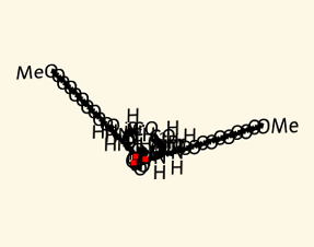 COCCOCCOCCOCCOCCOCCOCCOCCOCCOCC(=O)NCCCC[C@H](NC(=O)CCCNC(=O)[C@H]([C@@H](C(=O)NCCCC(=O)N[C@@H](CCCCNC(=O)COCCOCCOCCOCCOCCOCCOCCOCCOCCOC)C(=O)N[C@H](C(=O)N[C@@H](C)C(=O)O)C(C)C)N1C(=O)C=CC1=O)N1C(=O)C=CC1=O)C(=O)N[C@H](C(=O)N[C@@H](C)C(=O)O)C(C)C